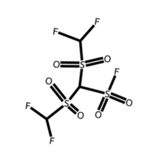 O=S(=O)(F)C(S(=O)(=O)C(F)F)S(=O)(=O)C(F)F